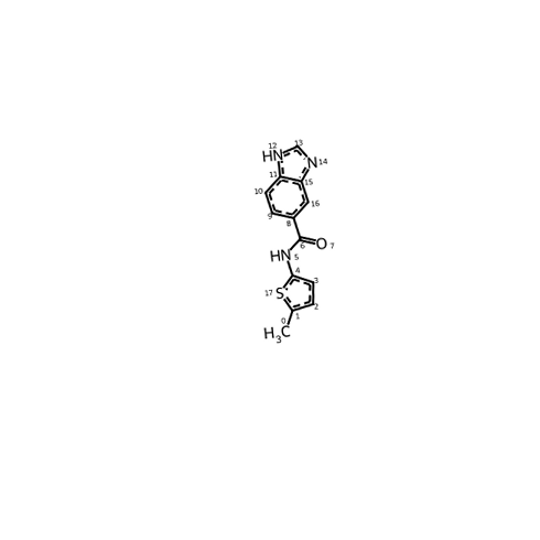 Cc1ccc(NC(=O)c2ccc3[nH]cnc3c2)s1